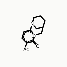 CC(=O)c1ccc2n(c1=O)CC1CCCN2C1